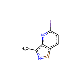 Cc1nsc2ccc(I)nc12